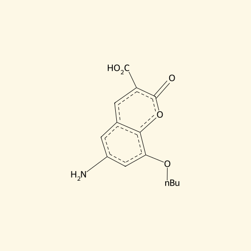 CCCCOc1cc(N)cc2cc(C(=O)O)c(=O)oc12